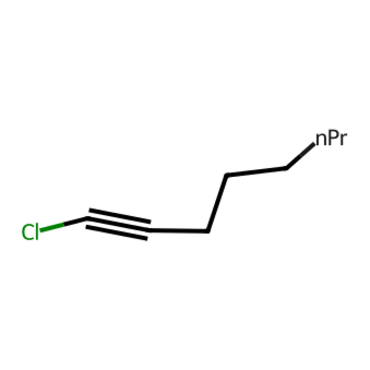 CCCCCCC#CCl